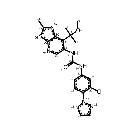 COC(C)(C)c1c(NC(=O)Nc2ccc(-n3nccn3)c(Cl)c2)cnc2sc(C)nc12